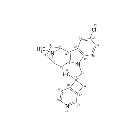 CN1C2CCC1c1c(n(CC3(O)Cc4cnccc43)c3ccc(Cl)cc13)C2